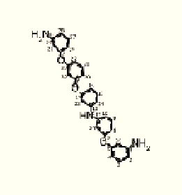 Nc1cccc(Oc2cccc(Nc3cccc(Oc4cccc(Oc5cccc(N)c5)c4)c3)c2)c1